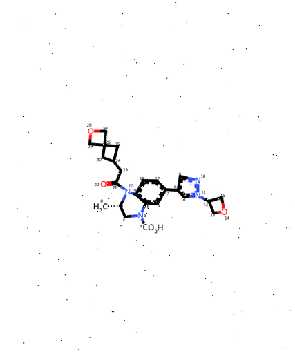 C[C@H]1CN(C(=O)O)c2cc(-c3cnn(C4COC4)c3)ccc2N1C(=O)CC1CC2(COC2)C1